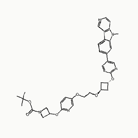 Cn1c2ccncc2c2ccc(-c3ccc(O[C@H]4C[C@H](OCCOc5ccc(OC6CN(C(=O)OC(C)(C)C)C6)nc5)C4)nc3)cc21